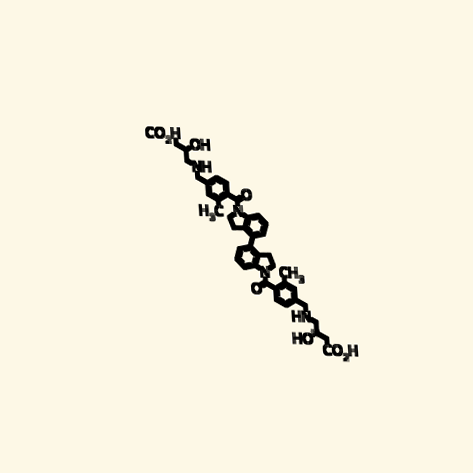 Cc1cc(CNCC(O)CC(=O)O)ccc1C(=O)N1CCc2c(-c3cccc4c3CCN4C(=O)c3ccc(CNC[C@@H](O)CC(=O)O)cc3C)cccc21